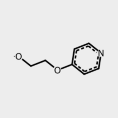 [O]CCOc1ccncc1